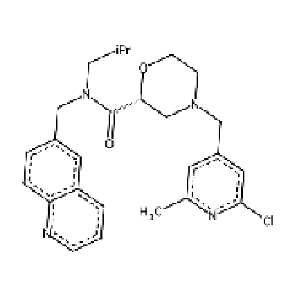 Cc1cc(CN2CCO[C@@H](C(=O)N(Cc3ccc4ncccc4c3)CC(C)C)C2)cc(Cl)n1